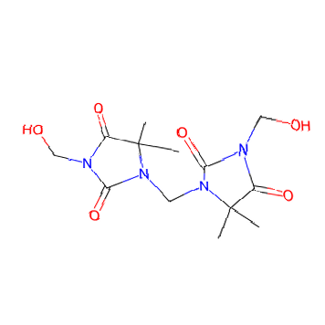 CC1(C)C(=O)N(CO)C(=O)N1CN1C(=O)N(CO)C(=O)C1(C)C